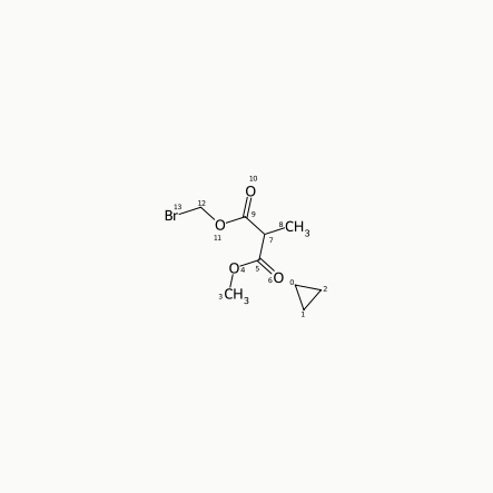 C1CC1.COC(=O)C(C)C(=O)OCBr